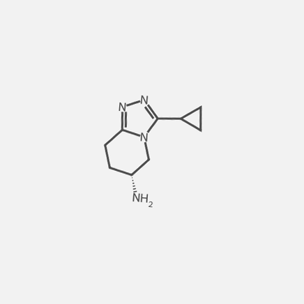 N[C@@H]1CCc2nnc(C3CC3)n2C1